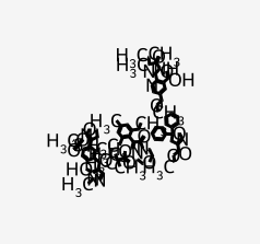 CCOC(=O)C1=NOC(c2ccccc2)(c2ccccc2)C1.CCc1cc(C)cc(CC)c1-c1c(OC(=O)C(C)(C)C)n2n(c1=O)CCOCC2.COCc1cnc(C2=NC(C)(C(C)C)C(=O)N2)c(C(=O)O)c1.Cc1c(C(=O)c2cnn(C)c2O)ccc(S(C)(=O)=O)c1C1=NOCC1